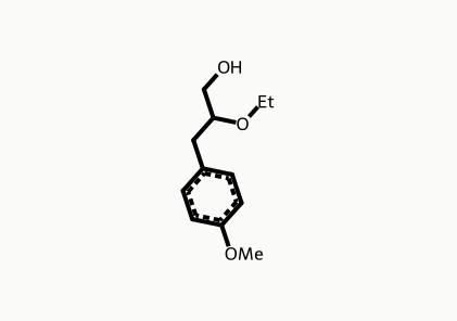 CCOC(CO)Cc1ccc(OC)cc1